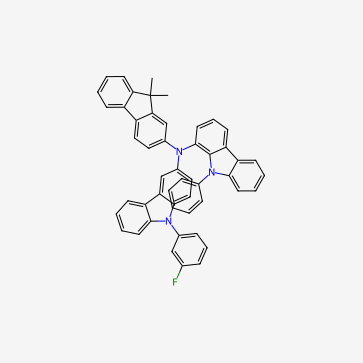 CC1(C)c2ccccc2-c2ccc(N(c3ccc4c(c3)c3ccccc3n4-c3cccc(F)c3)c3cccc4c5ccccc5n(-c5ccccc5)c34)cc21